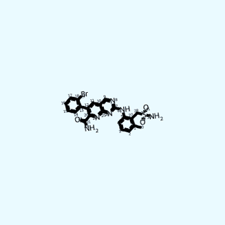 Cc1cccc(Nc2ncc3cc(-c4ccccc4Br)c(C(N)=O)nc3n2)c1CS(N)(=O)=O